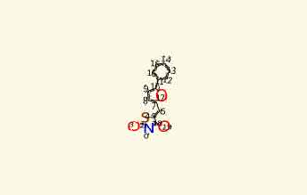 CN1C(=O)S/C(=C\c2ccc(-c3ccccc3)o2)C1=O